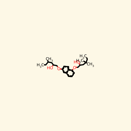 CCC(C)CC(O)COc1ccc2c(OCC(O)CC(C)(C)CC)cccc2c1